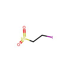 O=[SH](=O)CCI